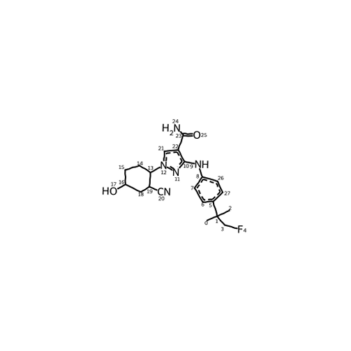 CC(C)(CF)c1ccc(Nc2nn(C3CCC(O)CC3C#N)cc2C(N)=O)cc1